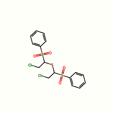 O=S(=O)(c1ccccc1)C(CCl)SC(CCl)S(=O)(=O)c1ccccc1